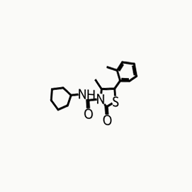 Cc1ccccc1C1SC(=O)N(C(=O)NC2CCCCC2)C1C